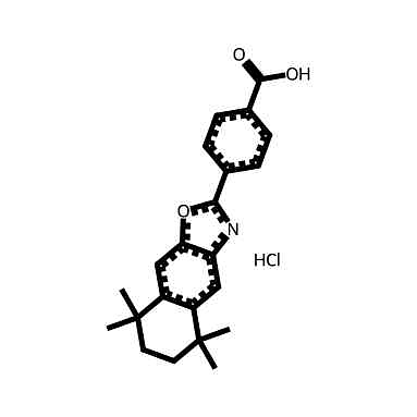 CC1(C)CCC(C)(C)c2cc3oc(-c4ccc(C(=O)O)cc4)nc3cc21.Cl